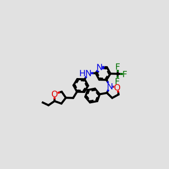 CCC1CC(Cc2ccc(Nc3cc(N4OCCC4c4ccccc4)c(C(F)(F)F)cn3)cc2)CO1